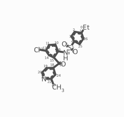 CCc1ccc(S(=O)(=O)Nc2ccc(Cl)cc2C(=O)c2ccnc(C)c2)cc1